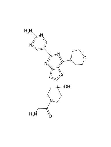 NCC(=O)N1CCC(O)(c2cc3nc(-c4cnc(N)nc4)nc(N4CCOCC4)c3s2)CC1